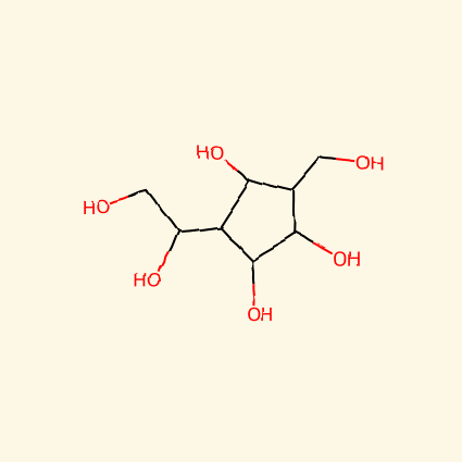 OCC(O)C1C(O)C(O)C(CO)C1O